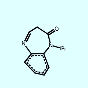 CC(C)N1C(=O)CC=Nc2ccccc21